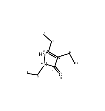 CCc1[nH]n(CC)c(=O)c1CC